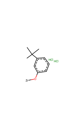 CC(C)(C)c1cccc([O][Zr])c1.Cl.Cl